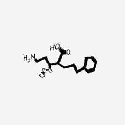 NCCC(OP=O)C(CCCc1ccccc1)C(=O)O